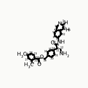 [2H]c1ncc2ccc(NC(=O)[C@H](CN)c3ccc(COC(=O)c4ccc(C)cc4C)cc3)cc2c1[2H]